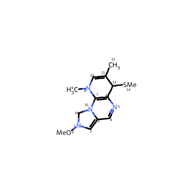 CON1C=C2C=NC3=C(N(C)C=C(C)C3SC)N2C1